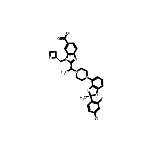 CC(c1nc2ccc(C(=O)O)cc2n1C[C@@H]1CCO1)N1CCN(c2cccc3c2O[C@@](C)(c2ccc(Cl)cc2F)O3)CC1